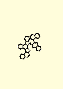 c1ccc2c(-c3nc4ccccc4nc3-n3c4ccccc4c4c5ccccc5c5c(sc6ccc7ccccc7c65)c43)cccc2c1